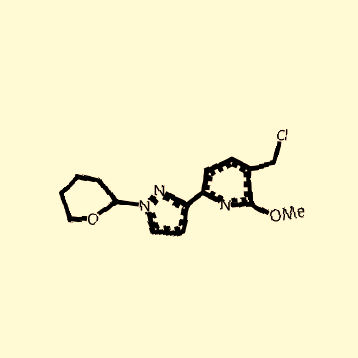 COc1nc(-c2ccn(C3CCCCO3)n2)ccc1CCl